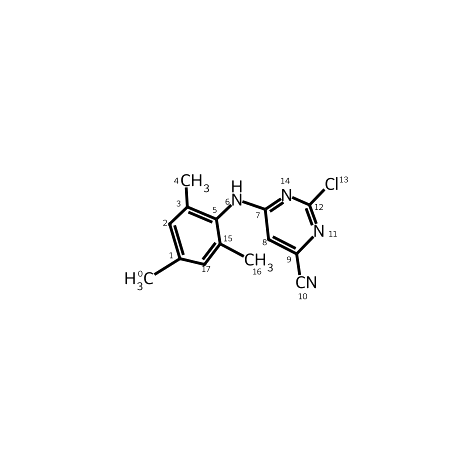 Cc1cc(C)c(Nc2cc(C#N)nc(Cl)n2)c(C)c1